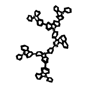 c1ccc(-n2c3ccccc3c3cc(-c4ccc5c(c4)c4cc(-c6ccc7c(c6)c6ccccc6n7-c6ccccc6)ccc4n5-c4ccc(-c5nc(-c6ccc(-n7c8ccc(-c9ccc%10c(c9)c9ccccc9n%10-c9ccccc9)cc8c8cc(-c9ccc%10c(c9)c9ccccc9n%10-c9ccccc9)ccc87)cc6)c6c(n5)-c5cccc7cccc-6c57)cc4)ccc32)cc1